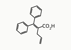 C=CCC(C(=O)O)=C(c1ccccc1)c1ccccc1